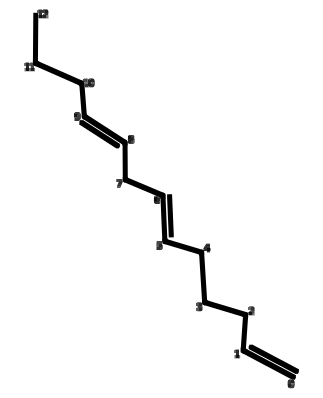 C=CCCCC=CCC=CCCC